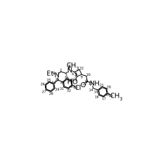 CCN(CCN(C)C1=C(O)C(CC(=O)NCc2ccc(C)cc2)C1)C(c1ccccc1)c1ccc(Cl)cc1